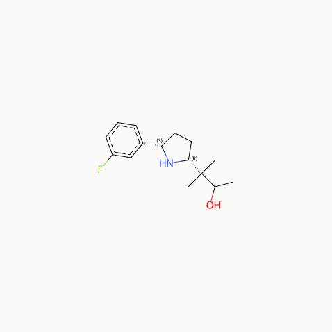 CC(O)C(C)(C)[C@H]1CC[C@@H](c2cccc(F)c2)N1